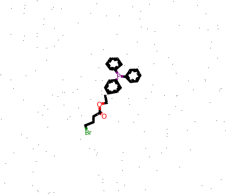 CCOC(=O)CCCBr.c1ccc(P(c2ccccc2)c2ccccc2)cc1